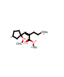 COCC/C(=C/C1(OC=O)CCCC1)C(=O)OC(C)(C)C